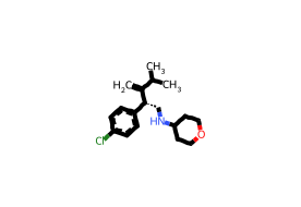 C=C(C(C)C)[C@H](CNC1CCOCC1)c1ccc(Cl)cc1